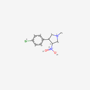 CN1CC(c2ccc(Br)cc2)C([N+](=O)[O-])C1